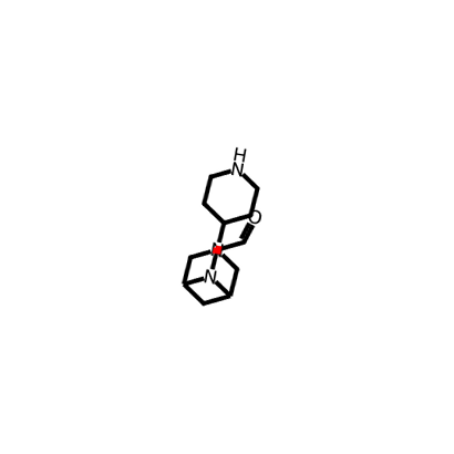 O=CCN1C2CC1CN(C1CCNCC1)C2